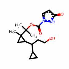 CC(C)(OC(=O)n1ccc(=O)[nH]1)C1(C)CC1C(CCO)C1CC1